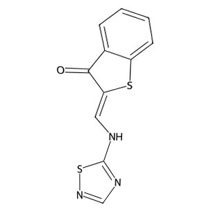 O=C1C(=CNc2ncns2)Sc2ccccc21